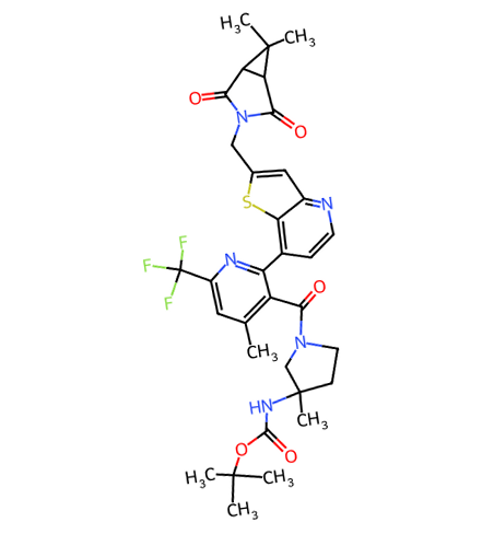 Cc1cc(C(F)(F)F)nc(-c2ccnc3cc(CN4C(=O)C5C(C4=O)C5(C)C)sc23)c1C(=O)N1CCC(C)(NC(=O)OC(C)(C)C)C1